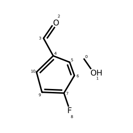 CO.O=Cc1ccc(F)cc1